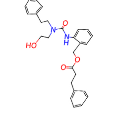 O=C(CCc1ccccc1)OCc1ccccc1NC(=O)N(CCO)CCc1ccccc1